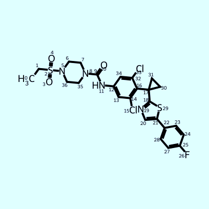 CCS(=O)(=O)N1CCN(C(=O)Nc2cc(Cl)c(C3(c4ncc(-c5ccc(F)cc5)s4)CC3)c(Cl)c2)CC1